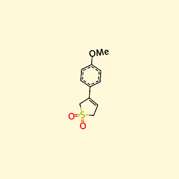 COc1ccc(C2=CCS(=O)(=O)C2)cc1